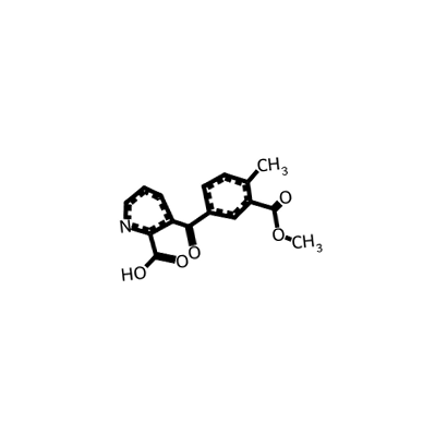 COC(=O)c1cc(C(=O)c2cccnc2C(=O)O)ccc1C